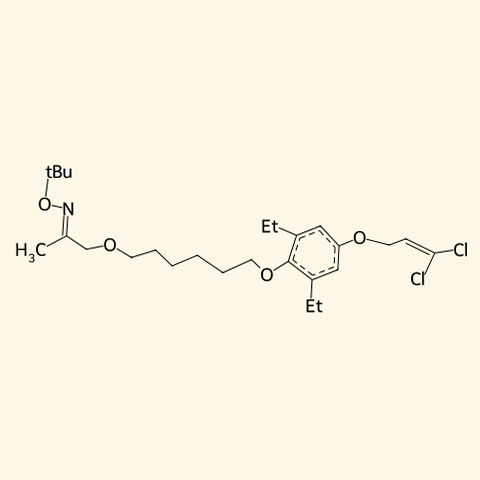 CCc1cc(OCC=C(Cl)Cl)cc(CC)c1OCCCCCCOCC(C)=NOC(C)(C)C